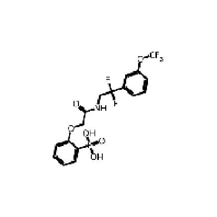 O=C(COc1ccccc1P(=O)(O)O)NCC(F)(F)c1cccc(OC(F)(F)F)c1